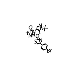 Cn1nnn(-c2cnn(C(C)(C)C)c2COc2nc(-c3ccc(Br)cc3)cs2)c1=O